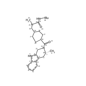 C[C@@H]1Cc2c([nH]c3ccccc23)CN1C(=O)C1CCC(CN(C)C(=O)NC(C)(C)C)CC1